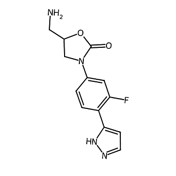 NCC1CN(c2ccc(-c3ccn[nH]3)c(F)c2)C(=O)O1